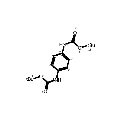 CC(C)(C)OC(=O)Nc1ccc(NC(=O)OC(C)(C)C)cc1